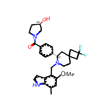 COc1cc(C)c2[nH]ccc2c1CN1CCC2(C[C@H]1c1ccc(C(=O)N3CC[C@@H](O)C3)cc1)CC(F)(F)C2